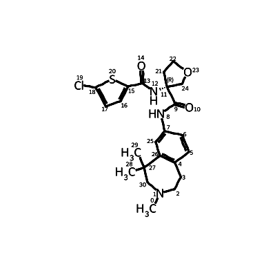 CN1CCc2ccc(NC(=O)[C@@]3(NC(=O)c4ccc(Cl)s4)CCOC3)cc2C(C)(C)C1